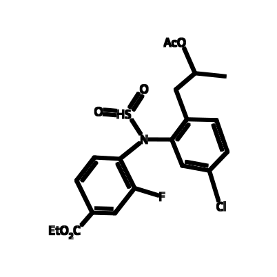 CCOC(=O)c1ccc(N(c2cc(Cl)ccc2CC(C)OC(C)=O)[SH](=O)=O)c(F)c1